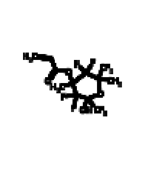 C=CC(=O)OC1(C)C(F)(F)C(C)(C(F)(F)F)OC(O)(C(F)(F)F)C1(F)F